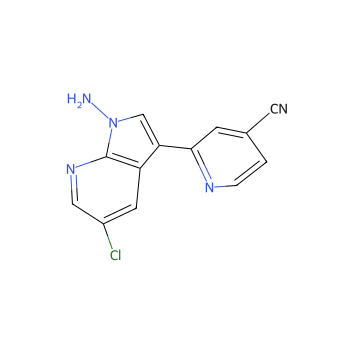 N#Cc1ccnc(-c2cn(N)c3ncc(Cl)cc23)c1